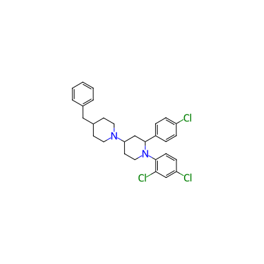 Clc1ccc(C2CC(N3CCC(Cc4ccccc4)CC3)CCN2c2ccc(Cl)cc2Cl)cc1